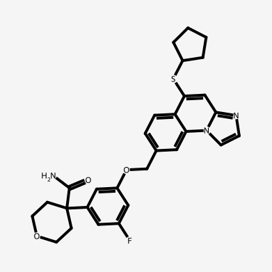 NC(=O)C1(c2cc(F)cc(OCc3ccc4c(SC5CCCC5)cc5nccn5c4c3)c2)CCOCC1